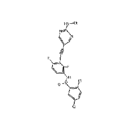 CCNc1ncc(C#Cc2c(F)ccc(N[S+]([O-])c3cc(Cl)ccc3Cl)c2F)cn1